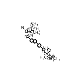 COC(=O)NC(C(=O)N1CCC[C@H]1c1ncc(-c2ccc(-c3ccc4cc(-c5cnc([C@@H]6C[C@H](C#N)CN6C(=O)[C@@H](NC(=O)OC)C(C)C)[nH]5)ccc4c3)cc2)[nH]1)C(C)C